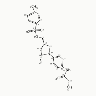 Cc1ccc(S(=O)(=O)OC[C@H]2CN(c3ccc(NC(=O)CO)cc3)C(=O)O2)cc1